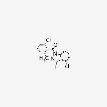 Cc1cccc(Cl)c1C(=O)n1nc(I)c2c(Cl)cccc21